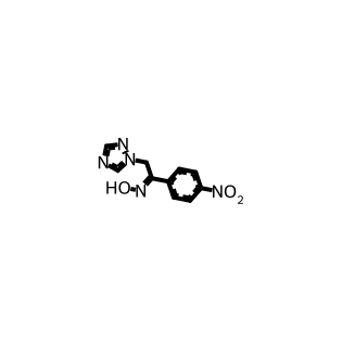 O=[N+]([O-])c1ccc(/C(Cn2cncn2)=N/O)cc1